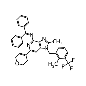 Cc1c(Cn2c(C)nc3c(N=C(c4ccccc4)c4ccccc4)nc(C4=CCOCC4)cc32)cccc1C(F)(F)F